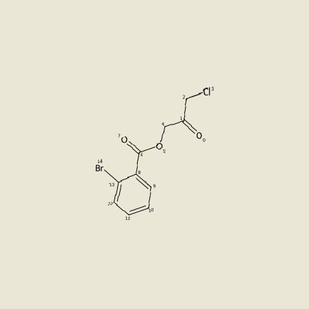 O=C(CCl)COC(=O)c1ccccc1Br